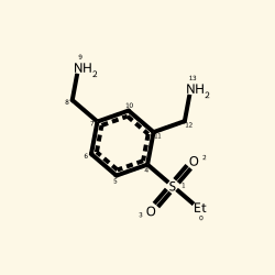 CCS(=O)(=O)c1ccc(CN)cc1CN